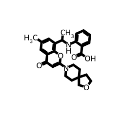 Cc1cc(C(C)Nc2ccccc2C(=O)O)c2oc(N3CCC4(CCOC4)CC3)cc(=O)c2c1